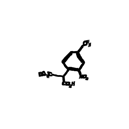 CCOC(=O)C(C(=O)O)c1ccc(C(F)(F)F)cc1[N+](=O)[O-]